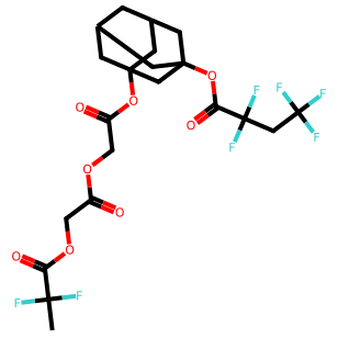 CC(F)(F)C(=O)OCC(=O)OCC(=O)OC12CC3CC(C1)CC(OC(=O)C(F)(F)CC(F)(F)F)(C3)C2